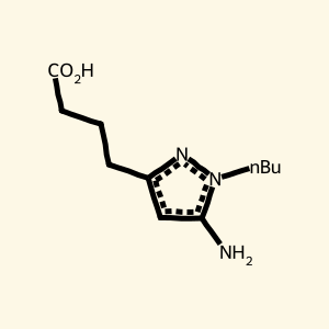 CCCCn1nc(CCCC(=O)O)cc1N